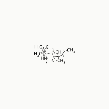 CCCC(C)(C)C1CCNC(C(C)(C)C)C1